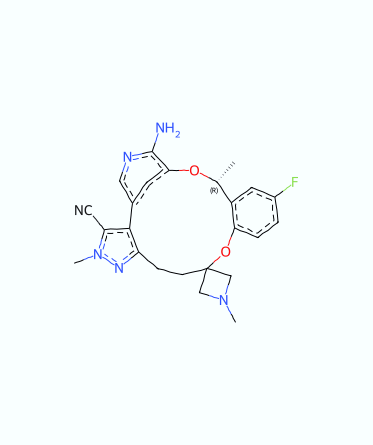 C[C@H]1Oc2cc(cnc2N)-c2c(nn(C)c2C#N)CCC2(CN(C)C2)Oc2ccc(F)cc21